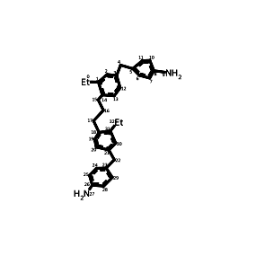 CCc1cc(Cc2ccc(N)cc2)ccc1CCCc1ccc(Cc2ccc(N)cc2)cc1CC